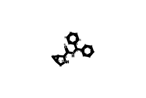 O=C(NC(c1ccccc1)c1ccccc1)C1NCC2CC21